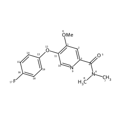 COc1cc(C(=O)N(C)C)ncc1Oc1ccc(F)cc1